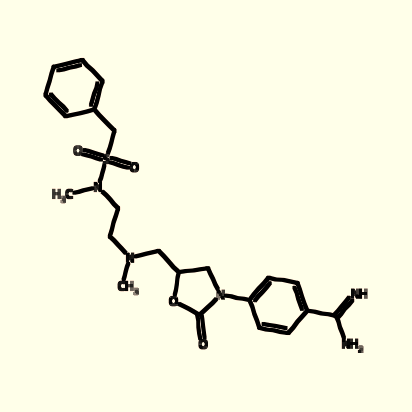 CN(CCN(C)S(=O)(=O)Cc1ccccc1)CC1CN(c2ccc(C(=N)N)cc2)C(=O)O1